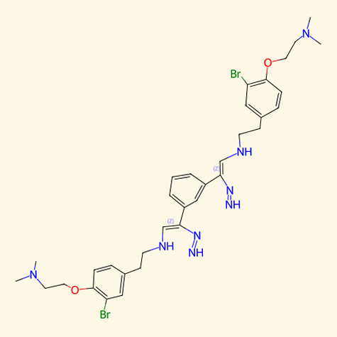 CN(C)CCOc1ccc(CCN/C=C(\N=N)c2cccc(/C(=C/NCCc3ccc(OCCN(C)C)c(Br)c3)N=N)c2)cc1Br